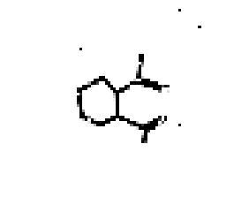 CC(=O)C1CCCCC1C(C)=O